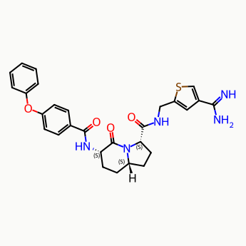 N=C(N)c1csc(CNC(=O)[C@@H]2CC[C@@H]3CC[C@H](NC(=O)c4ccc(Oc5ccccc5)cc4)C(=O)N32)c1